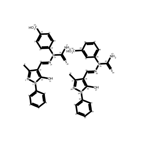 Cc1nn(-c2ccccc2)c(O)c1C=NN(C(N)=S)c1ccc(C(=O)O)cc1.Cc1nn(-c2ccccc2)c(O)c1C=NN(C(N)=S)c1cccc(C(=O)O)c1